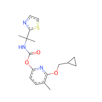 Cc1ccc(OC(=O)NC(C)(C)c2nccs2)nc1OCC1CC1